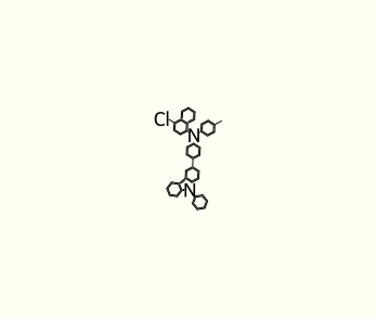 Cc1ccc(N(c2ccc(-c3ccc4c(c3)c3ccccc3n4-c3ccccc3)cc2)c2ccc(Cl)c3ccccc23)cc1